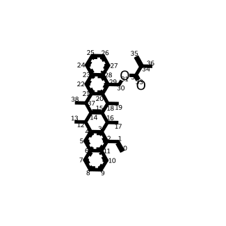 C=Cc1c2c(cc3ccccc13)C(C)C1=C(C2C)C(C)c2c(cc3ccccc3c2COC(=O)C(=C)C)C1C